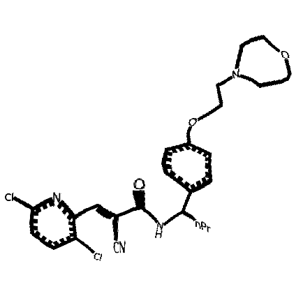 CCCC(NC(=O)/C(C#N)=C/c1nc(Cl)ccc1Cl)c1ccc(OCCN2CCOCC2)cc1